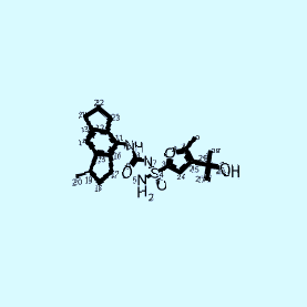 Cc1oc(S(N)(=O)=NC(=O)Nc2c3c(cc4c2CC[C@H]4C)CCC3)cc1C(C)(C)O